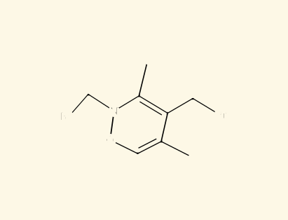 CC1=CON(CBr)C(C)=C1CBr